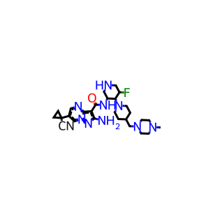 CN1CCN(CC2CCN(C3C(F)CNCC3NC(=O)c3c(N)nn4cc(C5(C#N)CC5)cnc34)CC2)CC1